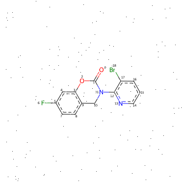 O=C1Oc2cc(F)ccc2CN1c1ncccc1Br